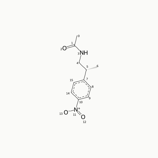 CC(=O)NC[C@H](C)c1ccc([N+](=O)[O-])cc1